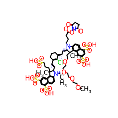 CC[N+]1=C(/C=C/C2=C(Cl)C(=C/C=C3/N(CCCC(=O)ON4C(=O)CCC4=O)c4ccc5c(S(=O)(=O)O)cc(S(=O)(=O)O)cc5c4C3(C)CCOCCOCCOCCOC)/CCC2)C(C)(CCCS(=O)(=O)O)c2c1ccc1c(S(=O)(=O)O)cc(S(=O)(=O)O)cc21